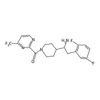 NC(Cc1cc(F)ccc1F)C1CCN(C(=O)c2nccc(C(F)(F)F)n2)CC1